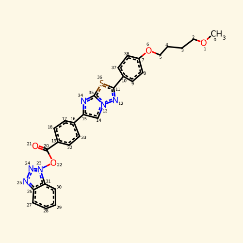 COCCCCOc1ccc(-c2nn3cc(-c4ccc(C(=O)On5nnc6ccccc65)cc4)nc3s2)cc1